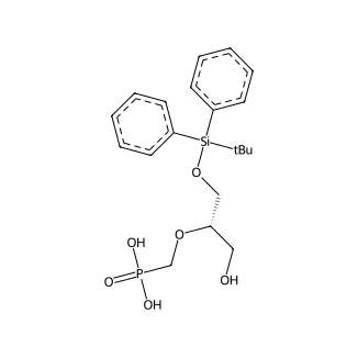 CC(C)(C)[Si](OC[C@H](CO)OCP(=O)(O)O)(c1ccccc1)c1ccccc1